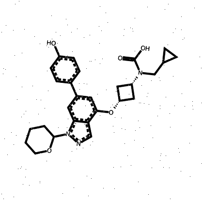 O=C(O)N(CC1CC1)[C@H]1C[C@@H](Oc2cc(-c3ccc(O)cc3)cc3c2cnn3C2CCCCO2)C1